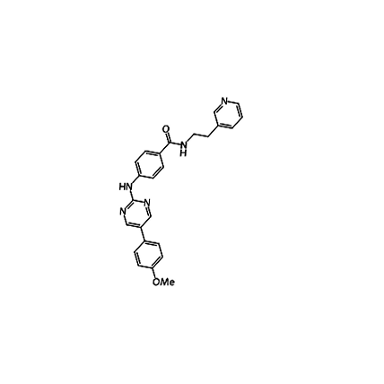 COc1ccc(-c2cnc(Nc3ccc(C(=O)NCCc4cccnc4)cc3)nc2)cc1